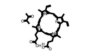 C=CC1=C(C)c2cc3[nH]c(cc4nc(cc5[nH]c(cc1n2)c(C)c5CCC(=O)O)C(CCC(=O)O)=C4C)c(C)c3C=C.CC(=O)C(C)=O